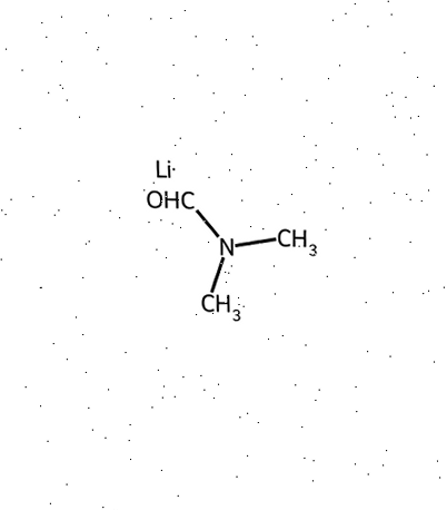 CN(C)C=O.[Li]